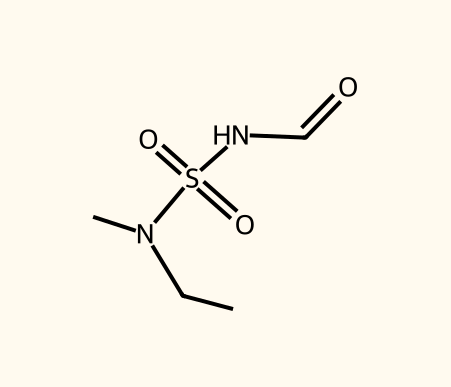 CCN(C)S(=O)(=O)NC=O